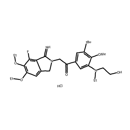 CCOc1cc2c(c(F)c1OCC)C(=N)N(CC(=O)c1cc(N(CC)CCO)c(OC)c(C(C)(C)C)c1)C2.Cl